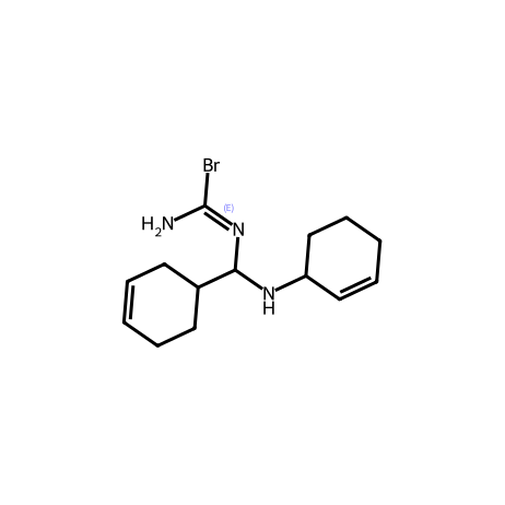 N/C(Br)=N\C(NC1C=CCCC1)C1CC=CCC1